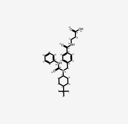 CC(C)(C)C1CCC(N(Cc2ccc(C(=O)NCCC(=O)O)cc2)C(=O)Nc2ccccc2)CC1